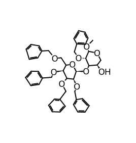 CO[C@@H]1OC[C@@H](O)C(O[C@@H]2OC(COCc3ccccc3)[C@H](OCc3ccccc3)C(OCc3ccccc3)[C@@H]2OCc2ccccc2)[C@@H]1OCc1ccccc1